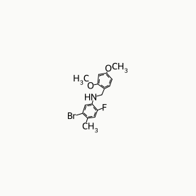 COc1ccc(CNc2cc(Br)c(C)cc2F)c(OC)c1